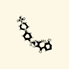 CCc1cccc(C(=O)c2sc(Nc3ccc(N4CCN(S(C)(=O)=O)CC4)cc3)nc2N)c1